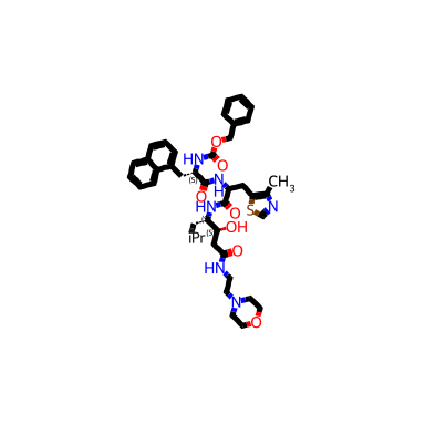 Cc1ncsc1CC(NC(=O)[C@H](Cc1cccc2ccccc12)NC(=O)OCc1ccccc1)C(=O)N[C@@H](CC(C)C)[C@@H](O)CC(=O)NCCN1CCOCC1